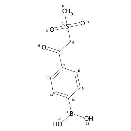 CS(=O)(=O)CC(=O)c1ccc(B(O)O)cc1